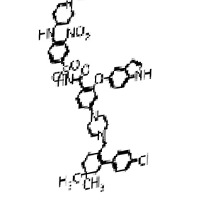 CC(=O)N1CCC(Nc2ccc(S(=O)(=O)NC(=O)c3ccc(N4CCN(CC5=C(c6ccc(Cl)cc6)CC(C)(C)CC5)CC4)cc3Oc3ccc4[nH]ccc4c3)cc2[N+](=O)[O-])CC1